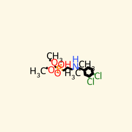 CCOC(OCC)P(=O)(O)CCCNC(C)(C)c1ccc(Cl)c(Cl)c1